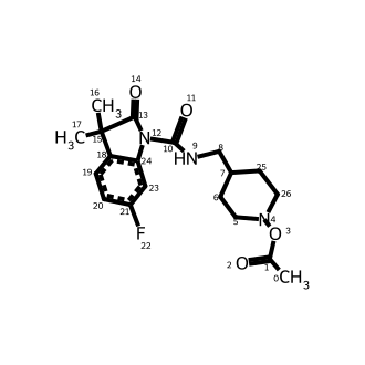 CC(=O)ON1CCC(CNC(=O)N2C(=O)C(C)(C)c3ccc(F)cc32)CC1